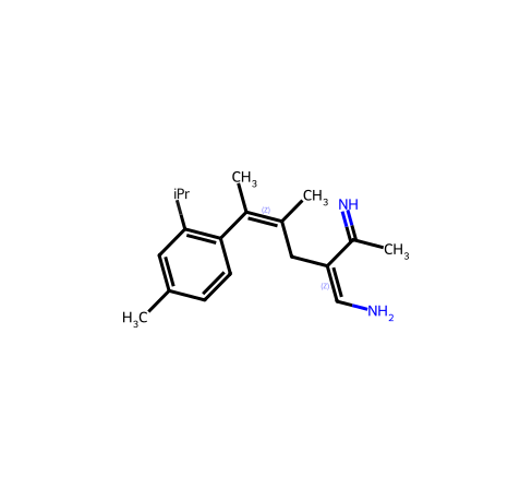 CC(=N)/C(=C\N)C/C(C)=C(/C)c1ccc(C)cc1C(C)C